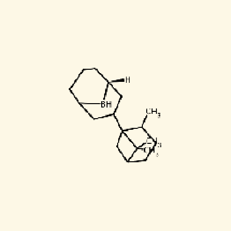 CC1CCC2CC1(C1CC3B[C@H](CCC3)C1)C2(C)C